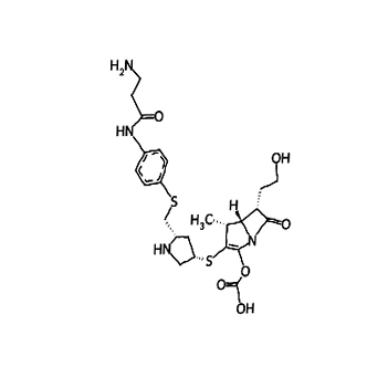 C[C@H]1C(S[C@@H]2CN[C@H](CSc3ccc(NC(=O)CCN)cc3)C2)=C(OC(=O)O)N2C(=O)[C@@H](CCO)[C@@H]12